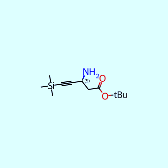 CC(C)(C)OC(=O)C[C@H](N)C#C[Si](C)(C)C